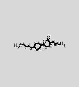 CCCCCC1CCC(C2CCC(CCC)C(=O)O2)CC1